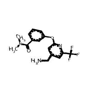 CN(C)C(=O)c1cccc(Oc2cc(CN)cc(C(F)(F)F)n2)c1